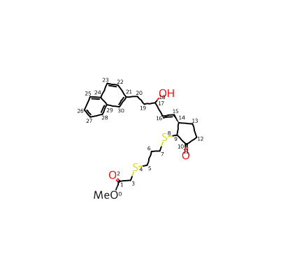 COC(=O)CSCCCSC1C(=O)CC[C@@H]1C=CC(O)CCc1ccc2ccccc2c1